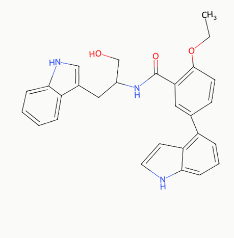 CCOc1ccc(-c2cccc3[nH]ccc23)cc1C(=O)NC(CO)Cc1c[nH]c2ccccc12